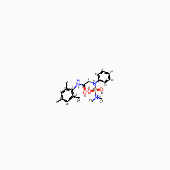 Cc1cc(C)c(NC(=O)CN(c2ccccc2)S(=O)(=O)N(C)C)c(C)c1